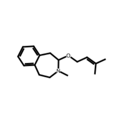 CC(C)=CCOC1Cc2ccccc2CCN1C